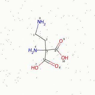 NCCC(N)(C(=O)O)C(=O)O